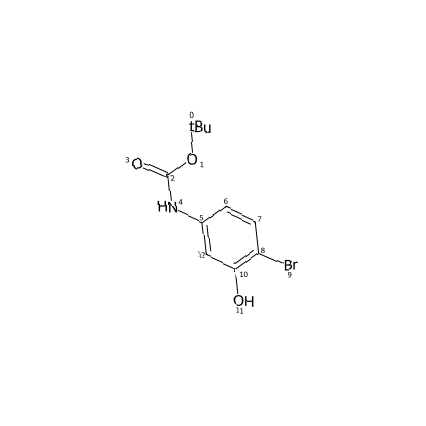 CC(C)(C)OC(=O)Nc1ccc(Br)c(O)c1